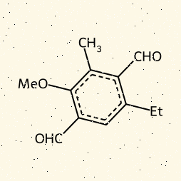 CCc1cc(C=O)c(OC)c(C)c1C=O